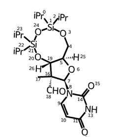 CC(C)[Si]1(C(C)C)OC[C@H]2O[C@@H](n3ccc(=O)[nH]c3=O)[C@](C)(C=O)[C@@H]2O[Si](C(C)C)(C(C)C)O1